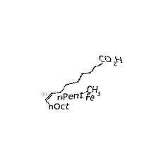 CCCCCC.CCCCCCCC/C=C\CCCCCCCC(=O)O.[Fe]